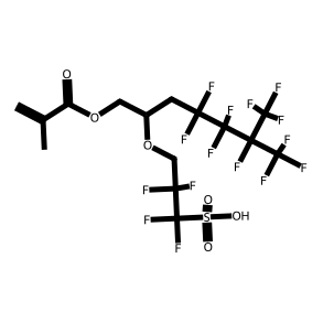 C=C(C)C(=O)OCC(CC(F)(F)C(F)(F)C(F)(C(F)(F)F)C(F)(F)F)OCC(F)(F)C(F)(F)S(=O)(=O)O